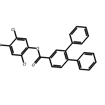 O=C(Oc1cc(Cl)c(Cl)cc1Cl)c1ccc(-c2ccccc2)c(-c2ccccc2)c1